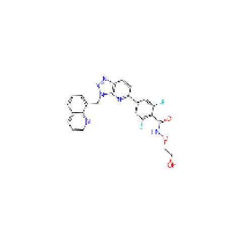 O=C(NOCCO)c1c(F)cc(-c2ccc3nnn(Cc4cccc5cccnc45)c3n2)cc1F